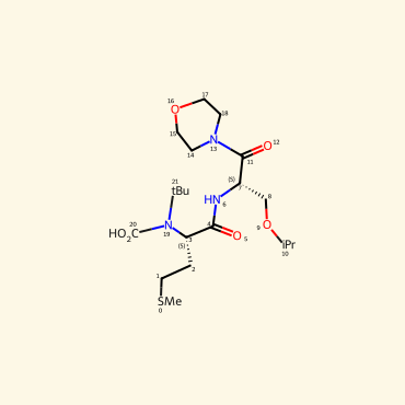 CSCC[C@@H](C(=O)N[C@@H](COC(C)C)C(=O)N1CCOCC1)N(C(=O)O)C(C)(C)C